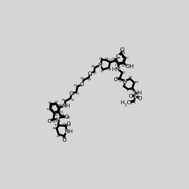 C=CS(=O)(=O)NC1CCN(C(=O)CNc2c(O)cc(Cl)cc2C2CCN(CCOCCOCCOCCNc3cccc4c3C(=O)N(C3CCC(=O)NC3=O)C4=O)CC2)CC1